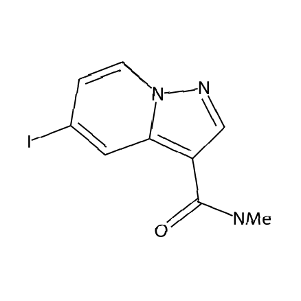 CNC(=O)c1cnn2ccc(I)cc12